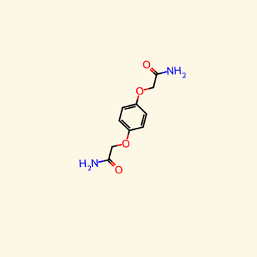 NC(=O)COc1ccc(OCC(N)=O)cc1